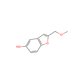 COCc1cc2cc(O)ccc2o1